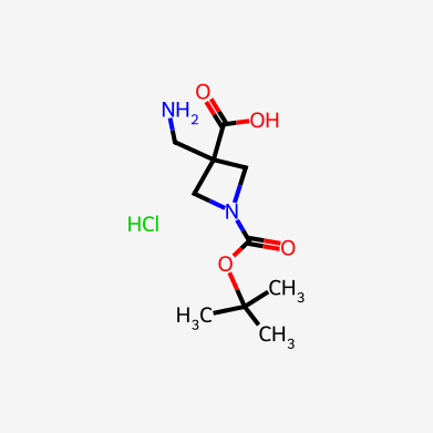 CC(C)(C)OC(=O)N1CC(CN)(C(=O)O)C1.Cl